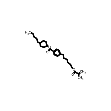 C=C(C)C(=O)OCCCCCCc1ccc(C(=O)OC2CCC(CCCCC)CC2)cc1